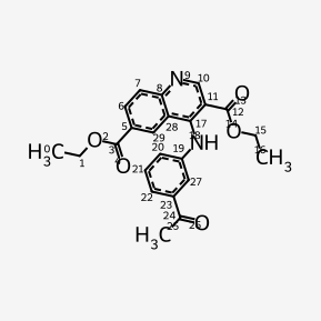 CCOC(=O)c1ccc2ncc(C(=O)OCC)c(Nc3cccc(C(C)=O)c3)c2c1